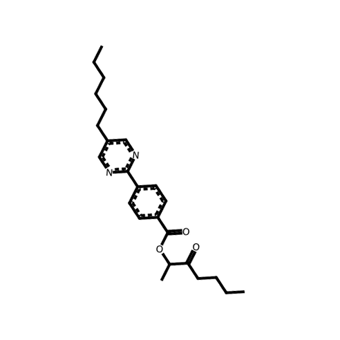 CCCCCCc1cnc(-c2ccc(C(=O)OC(C)C(=O)CCCC)cc2)nc1